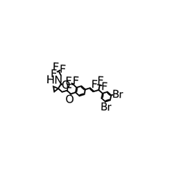 O=C(CCC1(C(=O)NCC(F)(F)F)CC1)c1ccc(/C=C/C(c2cc(Br)cc(Br)c2)C(F)(F)F)cc1C(F)(F)F